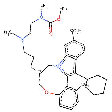 Cc1cccc2c1-c1c(C3CCCCC3)c3ccc(C(=O)O)cc3n1C[C@@H](CCCN(C)CCN(C)C(=O)OC(C)(C)C)CO2